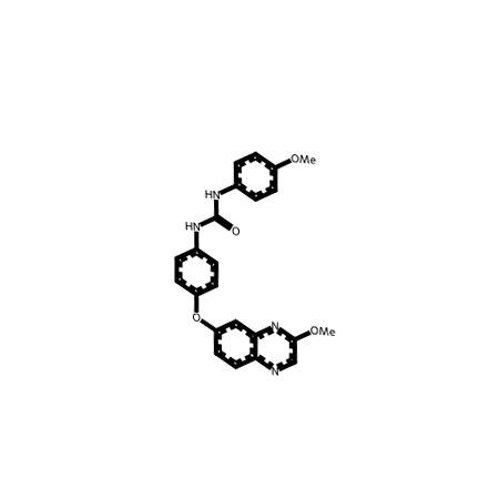 COc1ccc(NC(=O)Nc2ccc(Oc3ccc4ncc(OC)nc4c3)cc2)cc1